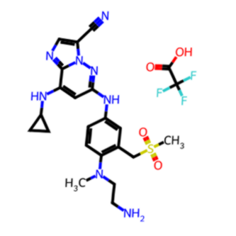 CN(CCN)c1ccc(Nc2cc(NC3CC3)c3ncc(C#N)n3n2)cc1CS(C)(=O)=O.O=C(O)C(F)(F)F